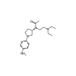 CCN(CC)CCN(C(C)=O)[C@@H]1CCN(c2ccc(N)cc2)C1